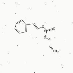 C=CCO[PH](=O)OC=Cc1ccccc1